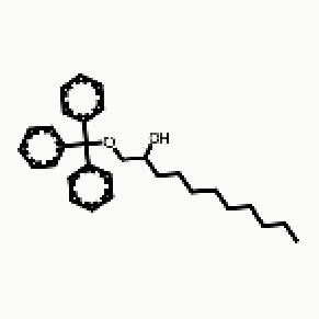 CCCCCCCCCC(O)COC(c1ccccc1)(c1ccccc1)c1ccccc1